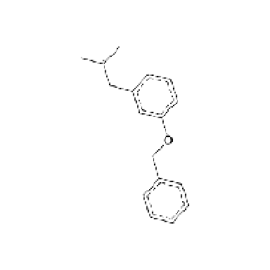 C[C](C)Cc1cccc(OCc2ccccc2)c1